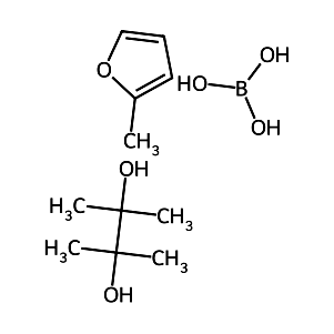 CC(C)(O)C(C)(C)O.Cc1ccco1.OB(O)O